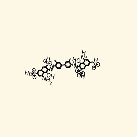 Cc1cc(-c2ccc(N=Nc3c(S(=O)(=O)O)cc4cc(C[SH](=O)=O)cc(N)c4c3O)c(C)c2)ccc1N=Nc1c([SH](=O)=O)cc2cc(S(=O)(=O)O)cc(N)c2c1O